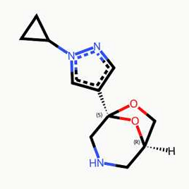 c1nn(C2CC2)cc1[C@]12CNC[C@H](CO1)O2